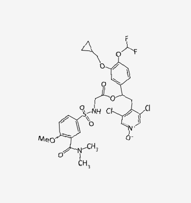 COc1ccc(S(=O)(=O)NCC(=O)OC(Cc2c(Cl)c[n+]([O-])cc2Cl)c2ccc(OC(F)F)c(OCC3CC3)c2)cc1C(=O)N(C)C